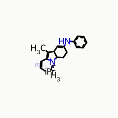 CC1=C(/C=C\C(C)C)N(C)C2CCC(Nc3ccccc3)=CC12